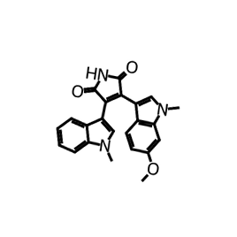 COc1ccc2c(C3=C(c4cn(C)c5ccccc45)C(=O)NC3=O)cn(C)c2c1